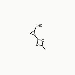 CC1OC(C2CC2C=O)O1